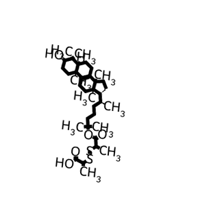 CC(SSC(C)C(=O)OC(C)(C)CCC[C@@H](C)[C@H]1CC[C@@]2(C)C3=C(CC[C@]12C)[C@@]1(C)CCC(O)C(C)(C)[C@@H]1CC3)C(=O)O